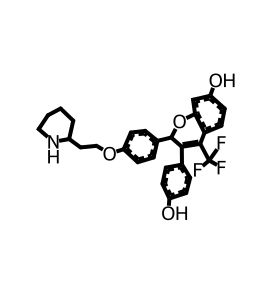 Oc1ccc(C2=C(C(F)(F)F)c3ccc(O)cc3OC2c2ccc(OCCC3CCCCN3)cc2)cc1